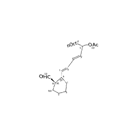 CCCCCCCCC(C=CC=C[C@@H]1CCCC[C@H]1C=O)OC(C)=O